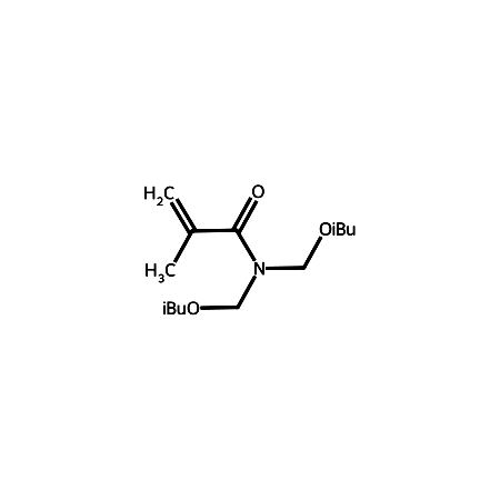 C=C(C)C(=O)N(COCC(C)C)COCC(C)C